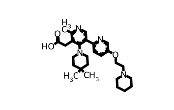 Cc1ncc(-c2ccc(OCCN3CCCCC3)cn2)c(N2CCC(C)(C)CC2)c1CC(=O)O